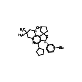 CC1(C)Cc2nc(C3CCCC3)c3c(c2[C@@H](O)C1)C1(CCCC1)O[C@@H]3c1cccc(C(C)(C)C)c1